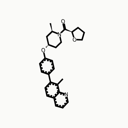 Cc1c(-c2ccc(O[C@H]3CCN(C(=O)[C@H]4CCCO4)[C@H](C)C3)cc2)ccc2cccnc12